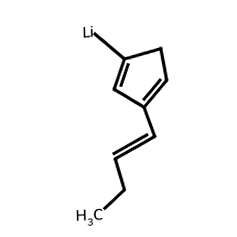 [Li][C]1=CC(C=CCC)=CC1